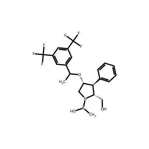 CB(O)N1C[C@H](OC(C)c2cc(C(F)(F)F)cc(C(F)(F)F)c2)[C@@H](c2ccccc2)[C@@H]1CO